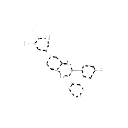 COc1ncc(-c2ccc3nc(-c4ccc(F)cc4)c(-c4ccc(F)cc4)nc3c2)cc1F